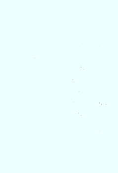 Cc1c(C(CO)N(C)Cc2cnc(Cl)nc2)ccc2c1COC2=O